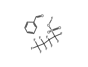 O=Cc1ccccc1.O=S(=O)(OF)C(F)(F)C(F)(F)C(F)(F)C(F)(F)F